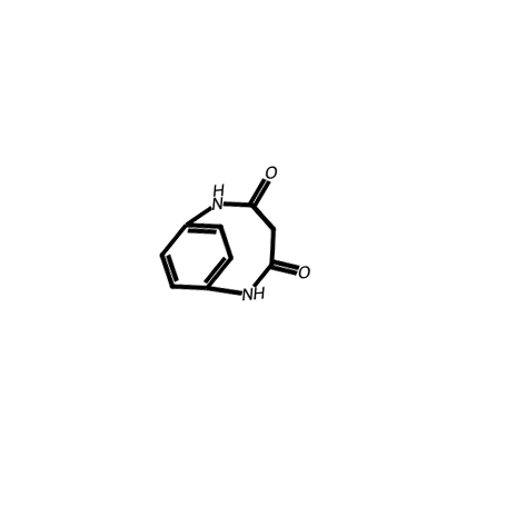 O=C1CC(=O)Nc2ccc(cc2)N1